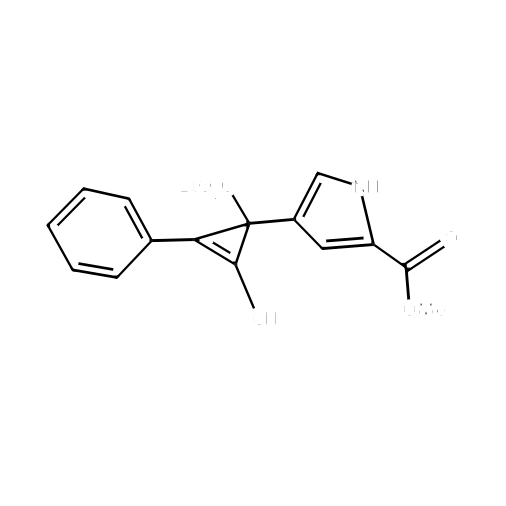 CCOC(=O)C1(c2c[nH]c(C(=O)OC)c2)C(C)=C1c1ccccc1